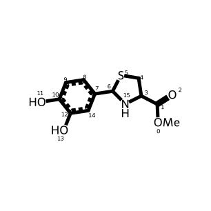 COC(=O)C1CSC(c2ccc(O)c(O)c2)N1